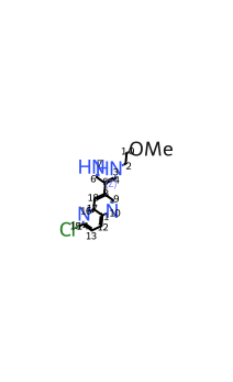 COCCN/C=C(\C=N)c1cnc2ccc(Cl)nc2c1